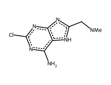 CNCc1nc2nc(Cl)nc(N)c2[nH]1